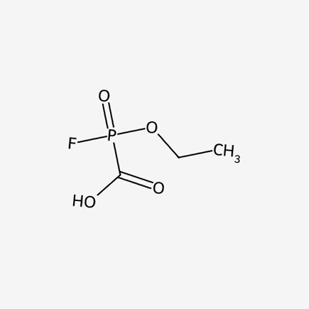 CCOP(=O)(F)C(=O)O